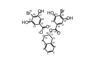 O=C(O[C@H]1Cc2ccccc2C[C@H]1OC(=O)c1cc(O)c(Br)c(O)c1)c1cc(O)c(Br)c(O)c1